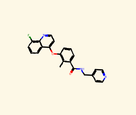 Cc1c(Oc2ccnc3c(F)cccc23)cccc1C(=O)NCc1ccncc1